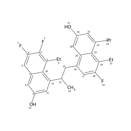 CCc1c(F)c(F)cc2cc(O)cc(C(C)Cc3cc(F)c(CC)c4c(C(C)C)cc(O)cc34)c12